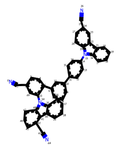 N#Cc1ccc(-c2cccc(-c3ccc(-n4c5ccccc5c5cc(C#N)ccc54)cc3)c2)c(-n2c3ccccc3c3c(C#N)cccc32)c1